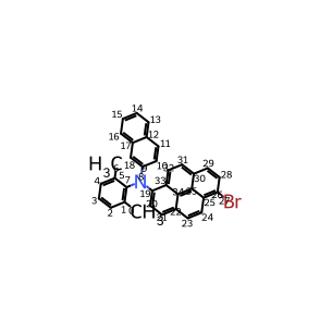 Cc1cccc(C)c1N(c1ccc2ccccc2c1)c1ccc2ccc3c(Br)ccc4ccc1c2c43